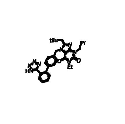 CCn1c(=O)c2c(nc(CC(C)(C)C)n2Cc2ccc(-c3ccccc3-c3nnn[nH]3)cc2)n(CC(C)C)c1=O